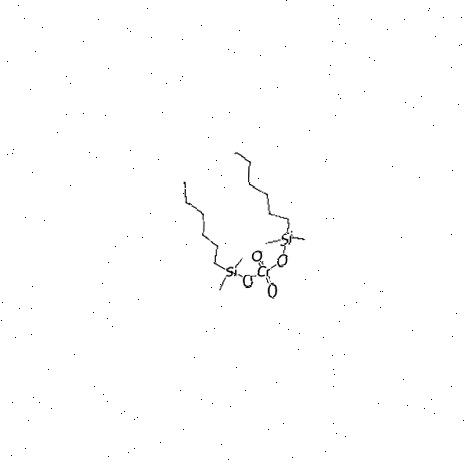 CCCCCC[Si](C)(C)[O][Cr](=[O])(=[O])[O][Si](C)(C)CCCCCC